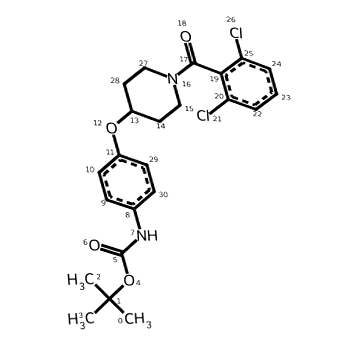 CC(C)(C)OC(=O)Nc1ccc(OC2CCN(C(=O)c3c(Cl)cccc3Cl)CC2)cc1